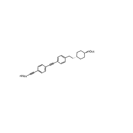 CCCCCCC#Cc1ccc(C#Cc2ccc(CC[C@H]3CC[C@H](CCCCCCCC)CC3)cc2)cc1